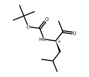 CC(=O)[C@@H](CC(C)C)NC(=O)OC(C)(C)C